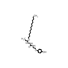 CCCCCCCCCCCCCCOC(CC)NNC(=O)NCCOc1ccc(O)cc1